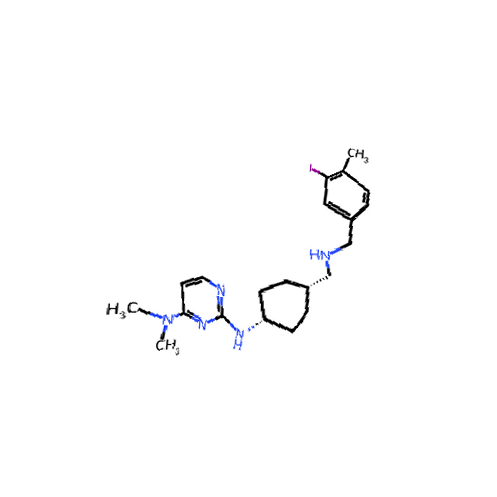 Cc1ccc(CNC[C@H]2CC[C@@H](Nc3nccc(N(C)C)n3)CC2)cc1I